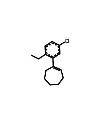 CCc1ccc(Cl)cc1C1=CCCCCC1